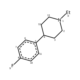 CCN1CCC(c2ccc(F)cc2)CC1